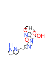 COc1ccc(C(CC(=O)O)N2CCn3cc(CCc4ccc5c(n4)NCCC5)cc3C2=O)cn1